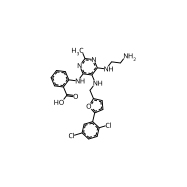 Cc1nc(NCCN)c(NCc2ccc(-c3cc(Cl)ccc3Cl)o2)c(Nc2ccccc2C(=O)O)n1